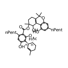 CCCCCc1cc(O)c2c(c1)OC(C)(C)C1=C2C(O)C(C)(OC(=O)c2c(CCCCC)cc(O)c([C@@H]3C=C(C)CC[C@H]3C(C)=O)c2O)CC1